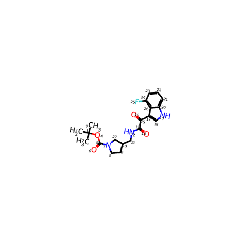 CC(C)(C)OC(=O)N1CCC(CNC(=O)C(=O)c2c[nH]c3cccc(F)c23)C1